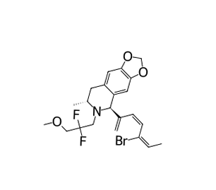 C=C(/C=C\C(Br)=C/C)[C@@H]1c2cc3c(cc2C[C@@H](C)N1CC(F)(F)COC)OCO3